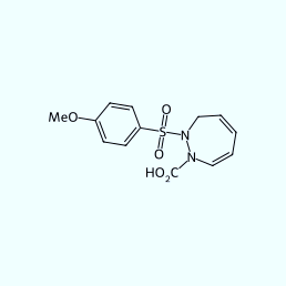 COc1ccc(S(=O)(=O)N2CC=CC=CN2C(=O)O)cc1